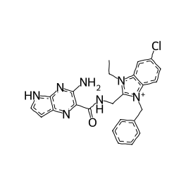 CCn1c(CNC(=O)c2nc3cc[nH]c3nc2N)[n+](Cc2ccccc2)c2ccc(Cl)cc21